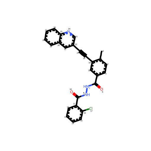 Cc1ccc(C(=O)NNC(=O)c2ccccc2Cl)cc1C#Cc1cnc2ccccc2c1